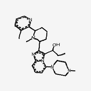 CCC(O)c1c(C2CCCC(c3ncccc3C)N2C)nc2cccc(N3CCN(C)CC3)n12